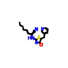 CCCCCCC(C#N)NC1=NC(=O)C(Cc2cccnc2)S1